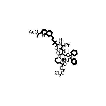 CC(=O)O[C@H](C)c1ccc2ccc(C=CC(C)(C)C(=O)NC(C(=O)N[C@H](C(=O)N3CCCC(C(=O)OCC(Cl)(Cl)Cl)N3)[C@@H](C)O[Si](c3ccccc3)(c3ccccc3)C(C)(C)C)C(C)C)cc2n1